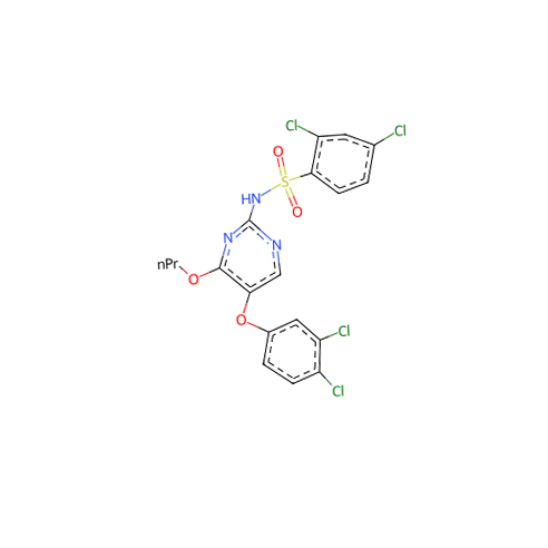 CCCOc1nc(NS(=O)(=O)c2ccc(Cl)cc2Cl)ncc1Oc1ccc(Cl)c(Cl)c1